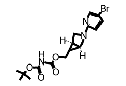 CC(C)(C)OC(=O)NC(=O)OCC1[C@H]2CN(c3ccc(Br)cn3)C[C@@H]12